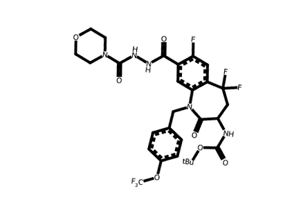 CC(C)(C)OC(=O)NC1CC(F)(F)c2cc(F)c(C(=O)NNC(=O)N3CCOCC3)cc2N(Cc2ccc(OC(F)(F)F)cc2)C1=O